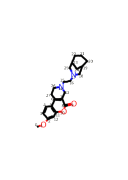 COc1ccc2c3c(c(=O)oc2c1)CN(CCN1CC2CCCC(C2)C1)CC3